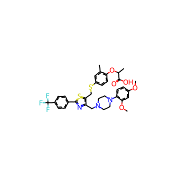 COc1ccc(N2CCN(Cc3nc(-c4ccc(C(F)(F)F)cc4)sc3CSc3ccc(OC(C)C(=O)O)c(C)c3)CC2)c(OC)c1